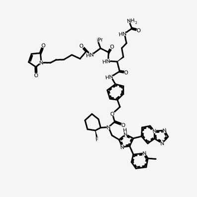 Cc1cccc(-c2nc(CN(C(=O)OCc3ccc(NC(=O)[C@H](CCCNC(N)=O)NC(=O)C(NC(=O)CCCCCN4C(=O)C=CC4=O)C(C)C)cc3)C3CCCC[C@@H]3F)[nH]c2-c2ccn3ncnc3c2)n1